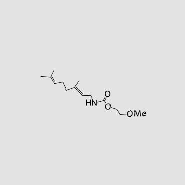 COCCOC(=O)NC/C=C(\C)CCC=C(C)C